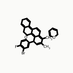 C1=CCOC=C1.CC1=CC(c2ccc(F)c(Br)c2)c2c3c(ccc2=C1C)=C1C=CCC=C1CC3=O